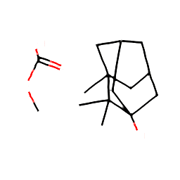 CC12CC3CC(C1)CC(O)(C3)C2(C)C.COC(=O)O